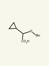 CC(C)(C)OC(C(=O)O)C1CC1